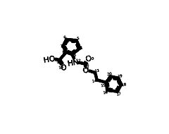 O=C(Nc1ccccc1C(=O)O)OCCc1ccccc1